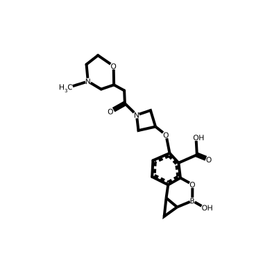 CN1CCOC(CC(=O)N2CC(Oc3ccc4c(c3C(=O)O)OB(O)C3CC43)C2)C1